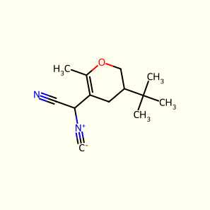 [C-]#[N+]C(C#N)C1=C(C)OCC(C(C)(C)C)C1